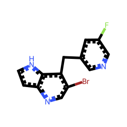 Fc1cncc(Cc2c(Br)cnc3cc[nH]c23)c1